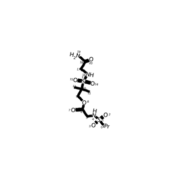 CC(C)S(=O)(=O)NCC(=O)OCC(C)(C)S(=O)(=O)NCC(N)=O